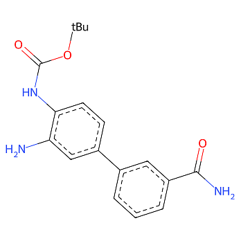 CC(C)(C)OC(=O)Nc1ccc(-c2cccc(C(N)=O)c2)cc1N